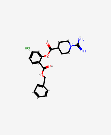 Cl.N=C(N)N1CCC(C(=O)Oc2ccccc2C(=O)OCc2ccccc2)CC1